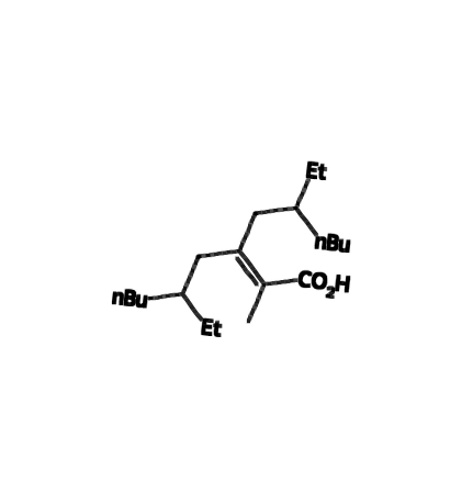 CCCCC(CC)CC(CC(CC)CCCC)=C(C)C(=O)O